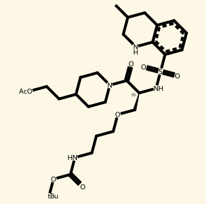 CC(=O)OCCC1CCN(C(=O)[C@H](COCCCNC(=O)OC(C)(C)C)NS(=O)(=O)c2cccc3c2NCC(C)C3)CC1